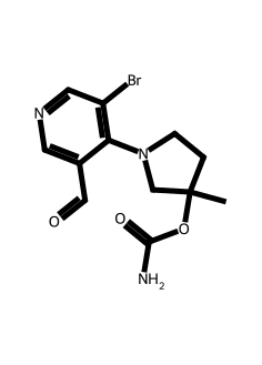 CC1(OC(N)=O)CCN(c2c(Br)cncc2C=O)C1